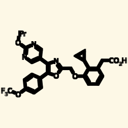 CC(C)Oc1ncc(-c2nc(COc3cccc(CC(=O)O)c3C3CC3)oc2-c2ccc(OC(F)(F)F)cc2)cn1